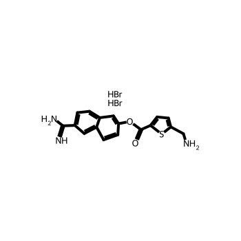 Br.Br.N=C(N)c1ccc2cc(OC(=O)c3ccc(CN)s3)ccc2c1